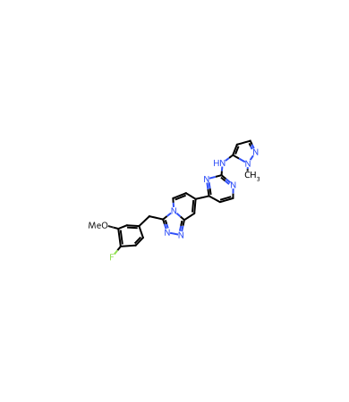 COc1cc(Cc2nnc3cc(-c4ccnc(Nc5ccnn5C)n4)ccn23)ccc1F